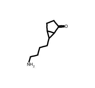 NCCCCC1C2CCC(=O)C12